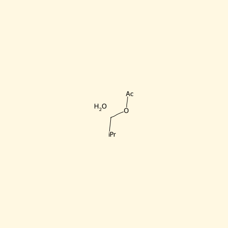 CC(=O)OCC(C)C.O